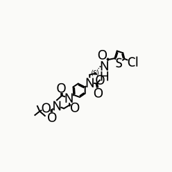 CC(C)(C)OC(=O)N1CC(=O)N(c2ccc(N3C[C@H](CNC(=O)c4ccc(Cl)s4)OC3=O)cc2)C(=O)C1